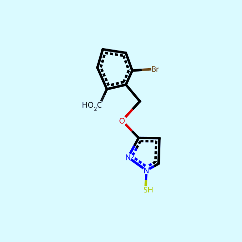 O=C(O)c1cccc(Br)c1COc1ccn(S)n1